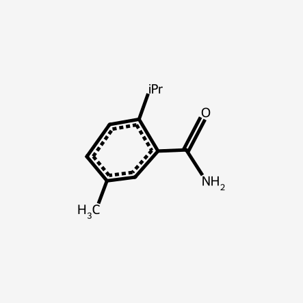 Cc1ccc(C(C)C)c(C(N)=O)c1